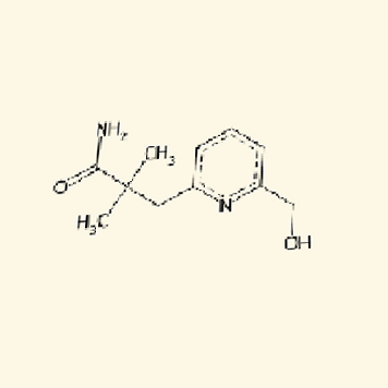 CC(C)(Cc1cccc(CO)n1)C(N)=O